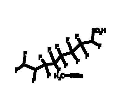 CNC.O=S(=O)(O)C(F)C(F)(F)C(F)(F)C(F)(F)C(F)(F)C(F)(F)C(F)C(F)F